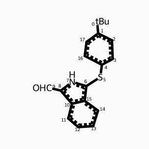 CC(C)(C)c1ccc(Sc2[nH]c(C=O)c3ccccc23)cc1